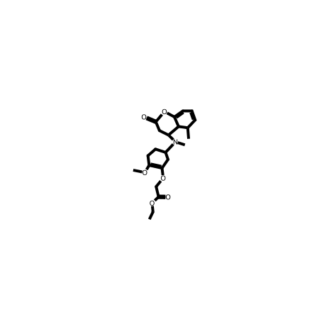 CCOC(=O)COC1=C(OC)CCC(N(C)C2CC(=O)OC3=CC=CC(C)C32)C1